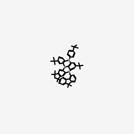 CC(C)(C)c1ccc(N2c3ccc(C(C)(C)C)cc3B3c4cc5c(cc4N(c4cccc6c4-c4ccccc4C6(C)C)c4cc(C(C)(C)C)cc2c43)C(C)(C)CC5(C)C)cc1